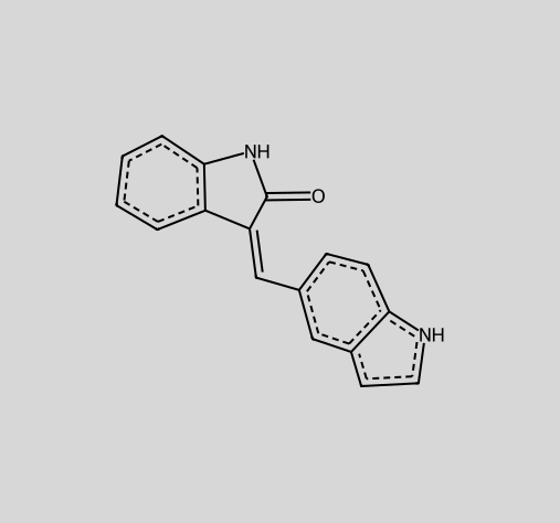 O=C1Nc2ccccc2/C1=C/c1ccc2[nH]ccc2c1